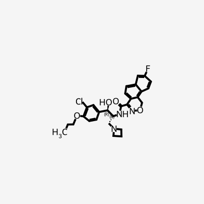 CCCOc1ccc([C@@H](O)[C@@H](CN2CCC2)NC(=O)C2=NOCc3c2ccc2cc(F)ccc32)cc1Cl